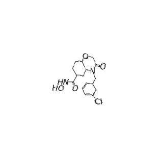 O=C(NO)C1CCC2OCC(=O)N(CC3C=CC=C(Cl)C3)C2C1